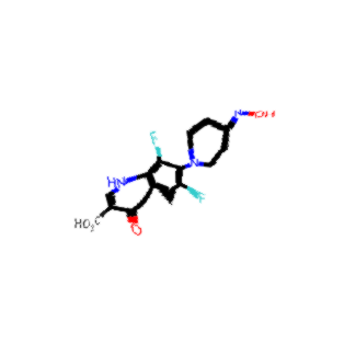 O=C(O)c1c[nH]c2c(F)c(N3CCC(=NO)CC3)c(F)cc2c1=O